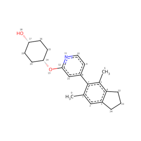 Cc1cc2c(c(C)c1-c1ccnc(O[C@H]3CC[C@@H](O)CC3)c1)CCC2